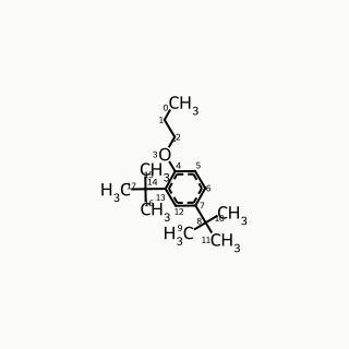 CC[CH]Oc1ccc(C(C)(C)C)cc1C(C)(C)C